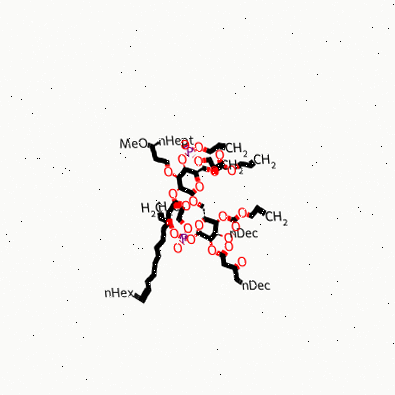 C=CCOC(=O)OC[C@H]1O[C@@H](OC[C@H]2O[C@H](OP(=O)(OCC=C)OCC=C)[C@H](OC(=O)CC(=O)CCCCCCCCCCC)[C@@H](OCCCCCCCCCC)[C@@H]2OC(=O)OCC=C)[C@H](OC(=O)CCCCCCCCC/C=C\CCCCCC)[C@@H](OCC[C@H](CCCCCCC)OC)[C@@H]1OP(=O)(OCC=C)OCC=C